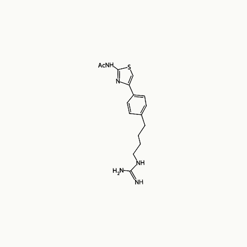 CC(=O)Nc1nc(-c2ccc(CCCCNC(=N)N)cc2)cs1